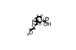 COCCOCC1(F)CCCN(C(=O)O)C1